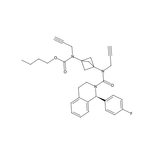 C#CCN(C(=O)OCCCC)C12CC(N(CC#C)C(=O)N3CCc4ccccc4[C@@H]3c3ccc(F)cc3)(C1)C2